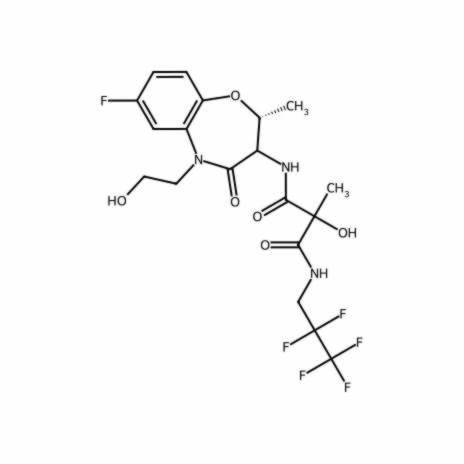 C[C@H]1Oc2ccc(F)cc2N(CCO)C(=O)C1NC(=O)C(C)(O)C(=O)NCC(F)(F)C(F)(F)F